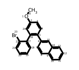 COc1ccc(-c2ccc3ccccc3c2)c(-c2ccccc2Br)c1